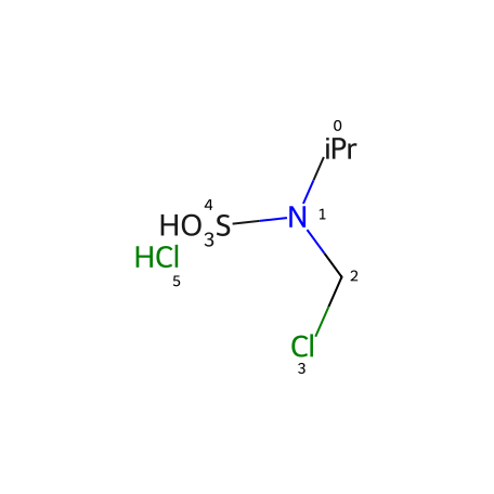 CC(C)N(CCl)S(=O)(=O)O.Cl